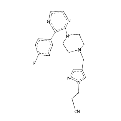 N#CCCn1cc(CN2CCN(c3nccnc3-c3ccc(F)cc3)CC2)cn1